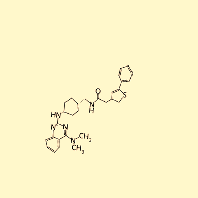 CN(C)c1nc(N[C@H]2CC[C@@H](CNC(=O)CC3C=C(c4ccccc4)SC3)CC2)nc2ccccc12